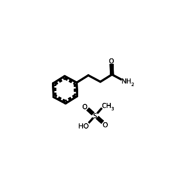 CS(=O)(=O)O.NC(=O)CCc1ccccc1